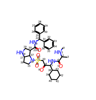 CNC(C)C(=O)NC(C(=O)CS(=O)(=O)N1CCC2NCC(C(=O)NC(c3ccccc3)c3ccccc3)C21)C1CCCCC1